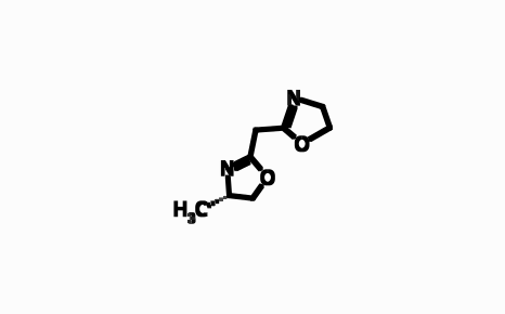 C[C@H]1COC(CC2=NCCO2)=N1